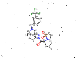 CC(C)C[C@@H](C(=O)N[C@@H]1CC[C@H]2CN(Cc3cccc(C(F)(F)F)c3)C[C@H]21)N1CCCS1(=O)=O